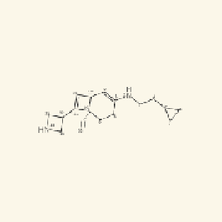 C1=C(NCCC2CC2)CC[C@H]2C(C3CNC3)=CC12